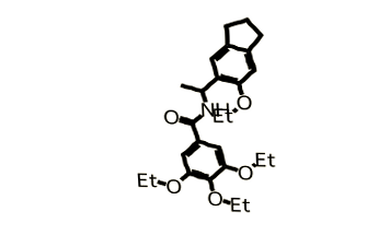 CCOc1cc2c(cc1C(C)NC(=O)c1cc(OCC)c(OCC)c(OCC)c1)CCC2